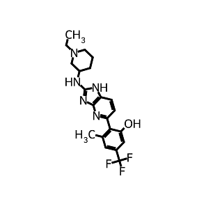 CCN1CCCC(Nc2nc3nc(-c4c(C)cc(C(F)(F)F)cc4O)ccc3[nH]2)C1